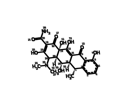 C[C@H]1c2cccc(O)c2C(=O)C2=C(O)[C@]3(O)C(=O)C(C(N)=O)=C(O)C(N(C)C)[C@@H]3[C@@H](O)[C@@H]21